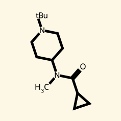 CN(C(=O)C1CC1)C1CCN(C(C)(C)C)CC1